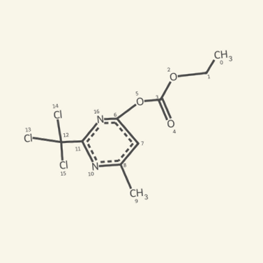 CCOC(=O)Oc1cc(C)nc(C(Cl)(Cl)Cl)n1